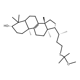 COC(C)(C)SCC[C@@H](C)[C@H]1CC[C@@]2(C)C3=C(CC[C@]12C)[C@@]1(C)CC[C@H](O)C(C)(C)C1CC3